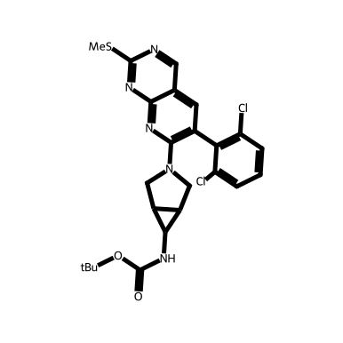 CSc1ncc2cc(-c3c(Cl)cccc3Cl)c(N3CC4C(C3)C4NC(=O)OC(C)(C)C)nc2n1